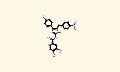 O=C(Nc1nc(-c2ccc(F)cc2)c(Cc2ccc([N+](=O)[O-])cc2)s1)c1ccc(O)c(O)c1